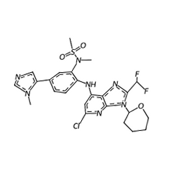 CN(c1cc(-c2cncn2C)ccc1Nc1cc(Cl)nc2c1nc(C(F)F)n2C1CCCCO1)S(C)(=O)=O